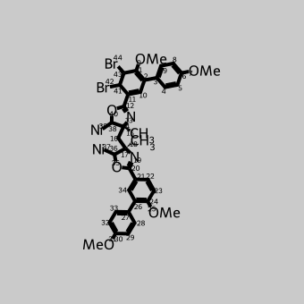 COC1=C(c2ccc(OC)cc2)C=C(C2=N[C@](C)(C[C@@]3(C)N=C(c4ccc(OC)c(-c5ccc(OC)cc5)c4)O[CH]3[Ni])[CH]([Ni])O2)C(Br)C1Br